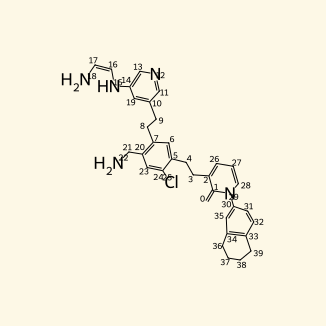 C=C1C(CCc2cc(CCc3cncc(N/C=C\N)c3)c(CN)cc2Cl)=CC=CN1c1ccc2c(c1)CCCC2